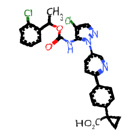 CC(OC(=O)Nc1c(Cl)cnn1-c1ccc(-c2ccc(C3(C(=O)O)CC3)cc2)nc1)c1ccccc1Cl